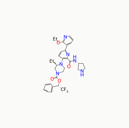 CCOc1ncccc1-c1ccc(N2CCN(C(=O)O[C@@H](c3ccccc3)C(F)(F)F)C[C@H]2CC)c(C(=O)N[C@@H]2CCNC2)n1